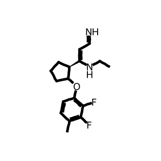 CCN/C(=C\C=N)[C@@H]1CCCC1Oc1ccc(C)c(F)c1F